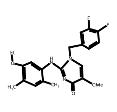 CCOc1cc(Nc2nc(=O)c(OC)cn2Cc2ccc(F)c(F)c2)c(C)cc1C